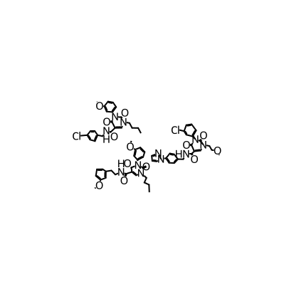 CCCCn1cc(C(=O)NCCc2cccc(OC)c2)c(=O)n(-c2cccc(OC)c2)c1=O.CCCCn1cc(C(=O)NCc2ccc(Cl)cc2)c(=O)n(-c2cccc(OC)c2)c1=O.COCCn1cc(C(=O)NCc2ccc(-n3cccn3)cc2)c(=O)n(-c2cccc(Cl)c2)c1=O